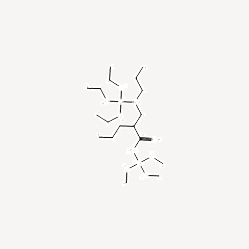 CCCC(CN(CCC)[Si](OCC)(OCC)OCC)C(=O)N[Si](OC)(OC)OC